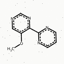 COc1cn[c]nc1-c1ncccn1